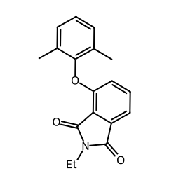 CCN1C(=O)c2cccc(Oc3c(C)cccc3C)c2C1=O